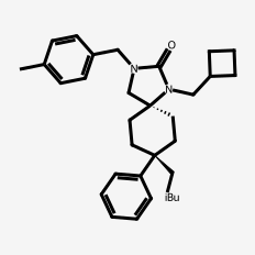 CCC(C)C[C@]1(c2ccccc2)CC[C@]2(CC1)CN(Cc1ccc(C)cc1)C(=O)N2CC1CCC1